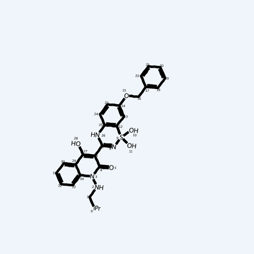 CC(C)CNn1c(=O)c(C2=NS(O)(O)c3cc(OCc4ccccc4)ccc3N2)c(O)c2ccccc21